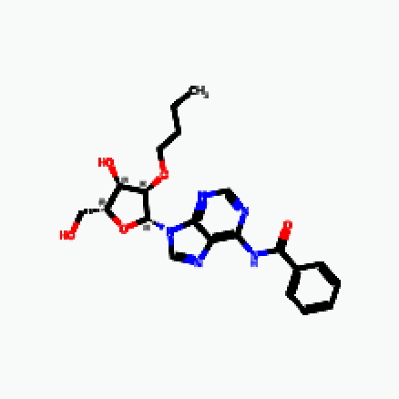 CCCCO[C@@H]1[C@H](O)[C@@H](CO)O[C@H]1n1cnc2c(NC(=O)c3ccccc3)ncnc21